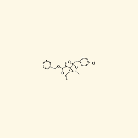 C=CC1CC1(NC(=O)OCc1ccccc1)P(=O)(Cc1ccc(Cl)cc1)OCC